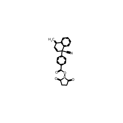 C=C1C=CC(C#N)(c2ccc(C(=O)ON3C(=O)CCC3=O)cc2)c2ccccc21